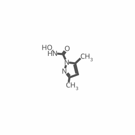 Cc1cc(C)n(C(=O)NO)n1